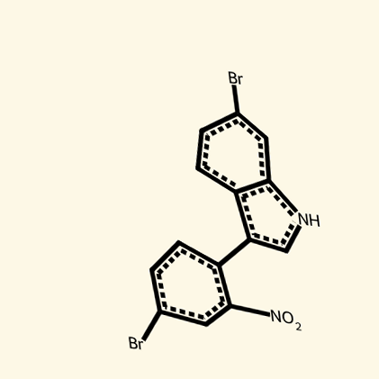 O=[N+]([O-])c1cc(Br)ccc1-c1c[nH]c2cc(Br)ccc12